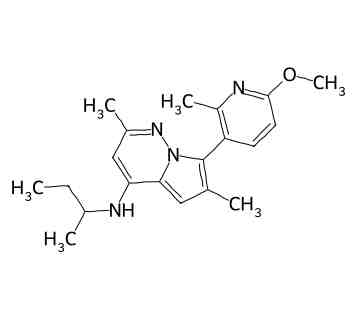 CCC(C)Nc1cc(C)nn2c(-c3ccc(OC)nc3C)c(C)cc12